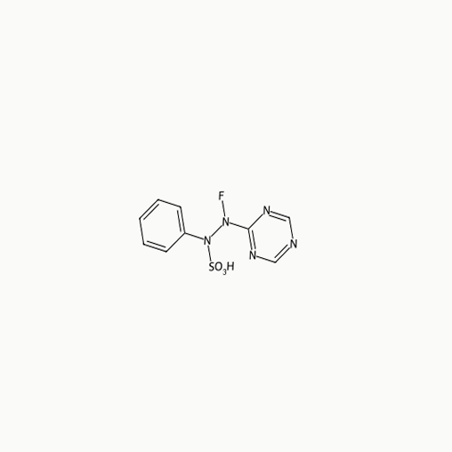 O=S(=O)(O)N(c1ccccc1)N(F)c1ncncn1